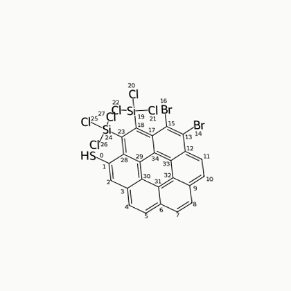 Sc1cc2ccc3ccc4ccc5c(Br)c(Br)c6c([Si](Cl)(Cl)Cl)c([Si](Cl)(Cl)Cl)c1c1c2c3c4c5c61